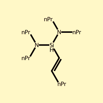 CCCC=C[SiH](N(CCC)CCC)N(CCC)CCC